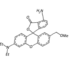 CCN(CC)c1ccc2c(c1)Oc1ccc(COC)cc1C21OC(=O)c2c(N)cccc21